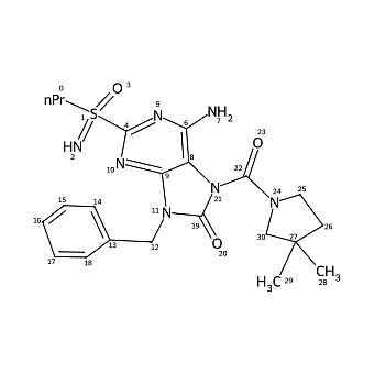 CCCS(=N)(=O)c1nc(N)c2c(n1)n(Cc1ccccc1)c(=O)n2C(=O)N1CCC(C)(C)C1